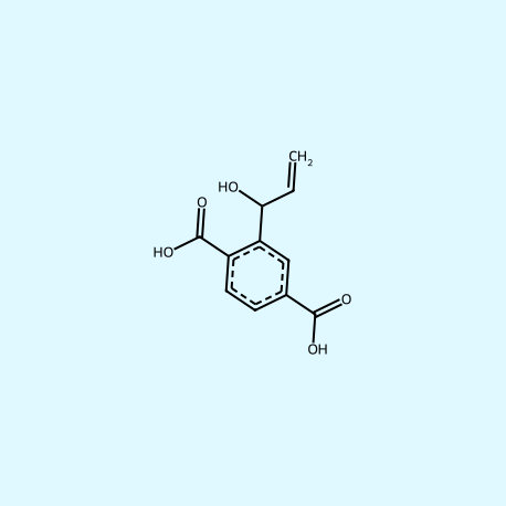 C=CC(O)c1cc(C(=O)O)ccc1C(=O)O